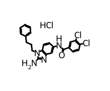 Cl.Nc1nc2cc(NC(=O)c3ccc(Cl)c(Cl)c3)ccc2n1CCCc1ccccc1